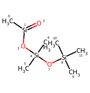 C[Si](=O)O[Si](C)(C)O[Si](C)(C)C